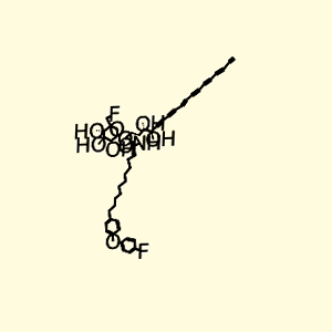 C#CC#CC#CC#CC#CC#CC#C[C@@H](O)[C@@H](O)[C@H](CO[C@H]1OC(CF)[C@@H](O)[C@H](O)C1O)NC(=O)CCCCCCCCCCc1ccc(Oc2ccc(F)cc2)cc1